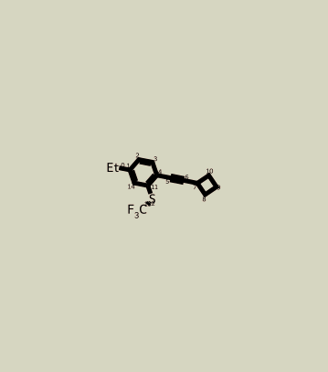 CCc1ccc(C#CC2CCC2)c(SC(F)(F)F)c1